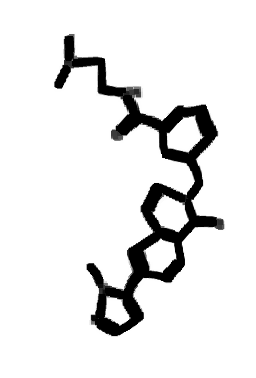 CN(C)CCNC(=O)c1cccc(Cn2ccc3cc(-c4ccnn4C)ccc3c2=O)c1